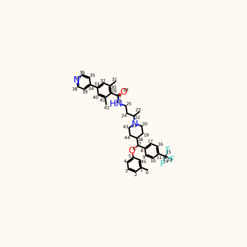 Cc1cccc(OC(c2ccc(C(F)(F)F)cc2)C2CCN(C(C)CCNC(=O)c3c(C)cc(-c4ccncc4)cc3C)CC2)c1